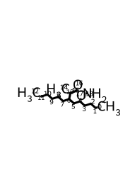 CCCCCCC(CCCCCC)C(C)C(=O)ON